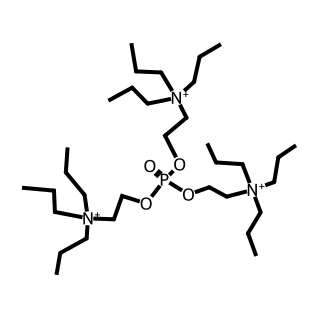 CCC[N+](CCC)(CCC)CCOP(=O)(OCC[N+](CCC)(CCC)CCC)OCC[N+](CCC)(CCC)CCC